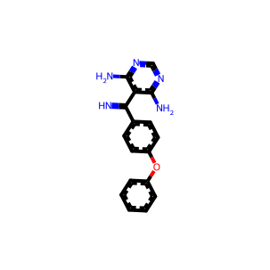 N=C(c1ccc(Oc2ccccc2)cc1)c1c(N)ncnc1N